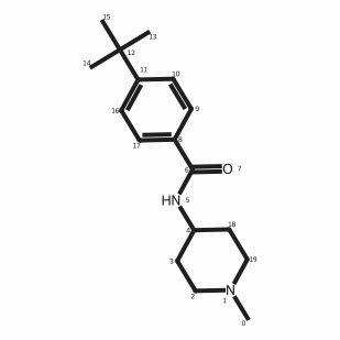 CN1CCC(NC(=O)c2ccc(C(C)(C)C)cc2)CC1